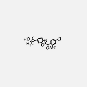 COC(c1ccc(Cl)cc1)c1nc2ccc(C(C)C(=O)O)cc2o1